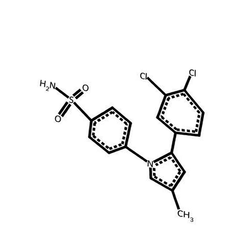 Cc1cc(-c2ccc(Cl)c(Cl)c2)n(-c2ccc(S(N)(=O)=O)cc2)c1